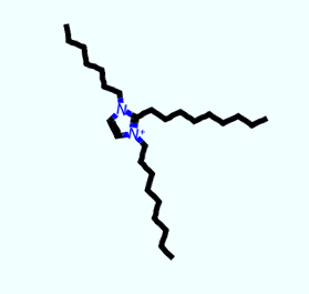 CCCCCCCCCc1n(CCCCCCC)cc[n+]1CCCCCCCCC